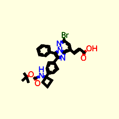 CC(C)(C)OC(=O)NC1(c2ccc(-c3nc4c(C=CC(=O)O)cc(Br)nn4c3-c3ccccc3)cc2)CCC1